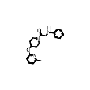 Cc1cccc(OC2CCN(C(=O)CNc3ccccc3)CC2)n1